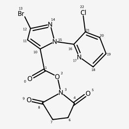 O=C(ON1C(=O)CCC1=O)c1cc(Br)nn1-c1ncccc1Cl